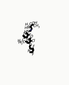 Cc1cnc(N/C=C\C(=N)C(C)(C)O)c(F)c1-n1c(C)cc(OCc2ncc(F)cc2F)c(Cl)c1=O